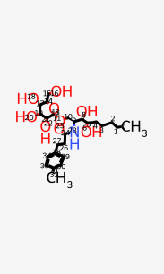 CCCCC[C@@H](O)[C@@H](O)[C@H](COC1OC(CO)C(O)C(O)C1O)NC(=O)CCc1ccc(C)cc1